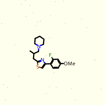 COc1ccc(-c2csc(CC(C)CN3CCCCC3)n2)c(F)c1